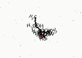 CCCCCCCC(O)C(C)/C=C/C=C/C(=O)O[C@@H]1[C@@H](C)[C@@]2(O)[C@@H](C=C(CO)C[C@]3(O)C(=O)C(C)=C[C@@H]23)[C@H]2C(C)(C)[C@]12OC(C)=O